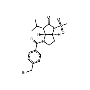 CC(C)[C@H]1C(=O)N(S(C)(=O)=O)[C@H]2CCN(C(=O)c3ccc(CBr)cc3)[C@H]12